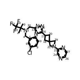 CC(C)(N1Cc2cc(Cl)ccc2-n2c(nnc2C2CC3(C2)CN(c2cnccn2)C3)C1)C(F)(F)F